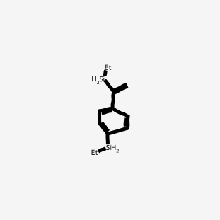 C=C([SiH2]CC)c1ccc([SiH2]CC)cc1